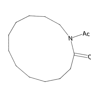 CC(=O)N1CCCCCCCCCCCC1=O